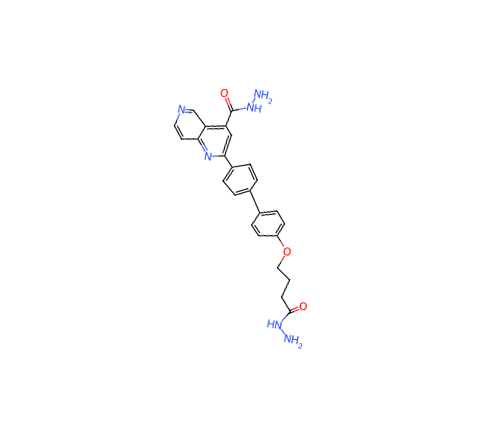 NNC(=O)CCCOc1ccc(-c2ccc(-c3cc(C(=O)NN)c4cnccc4n3)cc2)cc1